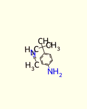 CC#N.CC(C)(C)c1ccc(N)cc1